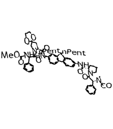 CCCCCC1(CCCCC)c2cc(NC(=O)[C@@H]3CC4(CN3C(=O)[C@H](NC(=O)OC)c3ccccc3)OCCO4)ccc2-c2ccc(NC(=O)[C@@H]3CCCN3C(=O)[C@@H](c3ccccc3)N(C)C(=O)O)cc21